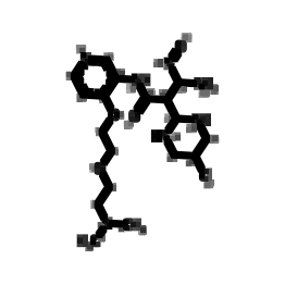 CN(C)CCOCCOc1ccncc1NC(=O)C(C(N)N=O)C1NCC(Cl)CN1